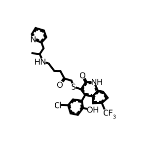 CC(Cc1ccccn1)NCCCC(=O)CSc1c(-c2cc(Cl)ccc2O)c2cc(C(F)(F)F)ccc2[nH]c1=O